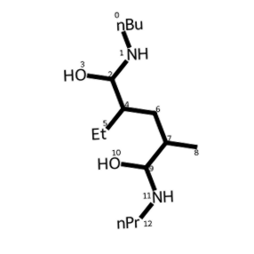 CCCCNC(O)C(CC)CC(C)C(O)NCCC